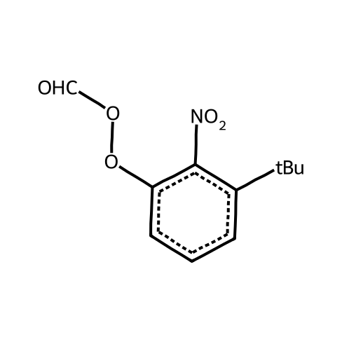 CC(C)(C)c1cccc(OOC=O)c1[N+](=O)[O-]